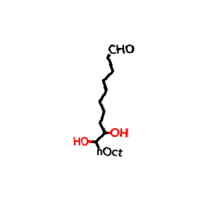 CCCCCCCCC(O)C(O)CCCCCCCC=O